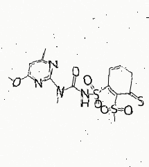 COc1cc(C)nc(N(C)C(=O)NS(=O)(=O)C2=C(S(C)(=O)=O)C(=S)CC=C2)n1